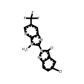 Cn1c(-n2nc3ccc(Cl)cc3c2Cl)nc2cc(C(F)(F)F)cnc21